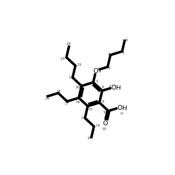 CCCCOc1c(O)c(C(=O)O)c(CCC)c(CCC)c1CCCC